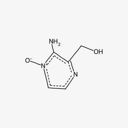 Nc1c(CO)ncc[n+]1[O-]